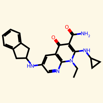 CCn1c(NC2CC2)c(C(N)=O)c(=O)c2cc(NC3Cc4ccccc4C3)cnc21